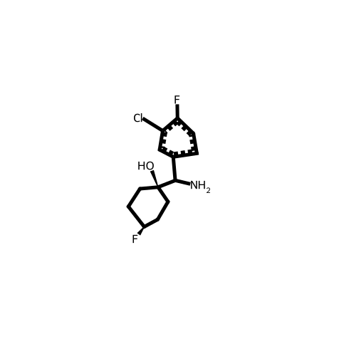 NC(c1ccc(F)c(Cl)c1)[C@]1(O)CC[C@@H](F)CC1